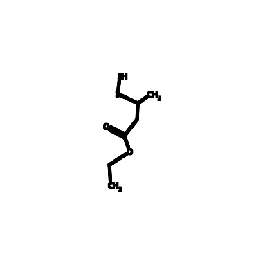 CCOC(=O)CC(C)SS